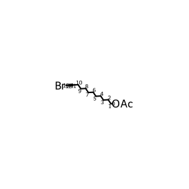 CC(=O)OCCCCCCCCCCC#CBr